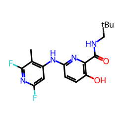 Cc1c(Nc2ccc(O)c(C(=O)NCC(C)(C)C)n2)cc(F)nc1F